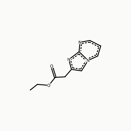 CCOC(=O)Cc1cn2cccnc2n1